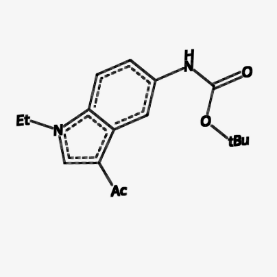 CCn1cc(C(C)=O)c2cc(NC(=O)OC(C)(C)C)ccc21